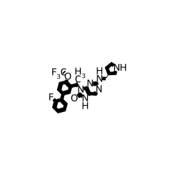 C[C@H](c1cc(-c2ccccc2F)ccc1OC(F)(F)F)n1c(=O)[nH]c2cnc(NC[C@@H]3CCNC3)nc21